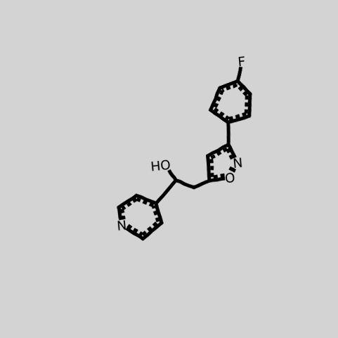 OC(Cc1cc(-c2ccc(F)cc2)no1)c1ccncc1